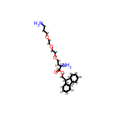 NCCCOCCOCCOCCC(N)C(=O)OCC1c2ccccc2-c2ccccc21